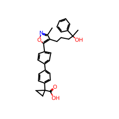 Cc1noc(-c2ccc(-c3ccc(C4(C(=O)O)CC4)cc3)cc2)c1CCCC(C)(O)c1ccccc1